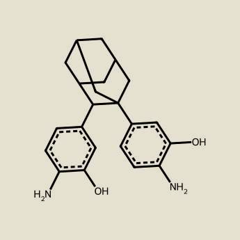 Nc1ccc(C2C3CC4CC(C3)CC2(c2ccc(N)c(O)c2)C4)cc1O